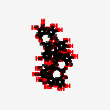 CC1(C)c2c(O)c(O)c(O)c3c2C(=O)O[C@@H]1[C@H]([C@@H]1OC(=O)c2cc(O)c(O)c(O)c2-c2c(cc(O)c(O)c2O)C(=O)OC[C@H]1OC(=O)c1cc(O)c(O)c(O)c1Oc1cc2c(c(O)c1O)-c1c(cc(O)c(O)c1O)C(=O)OC[C@@H]1OC(=O)c4cc(O)c(O)c(O)c4-c4c(O)c(O)c(O)c5c4C(=O)O[C@H](C4OC(=O)c6c-5c(O)c(O)c(O)c6[C@]4(C)O)[C@H]1OC2=O)OC(=O)c1cc(O)c(O)c(O)c1-3